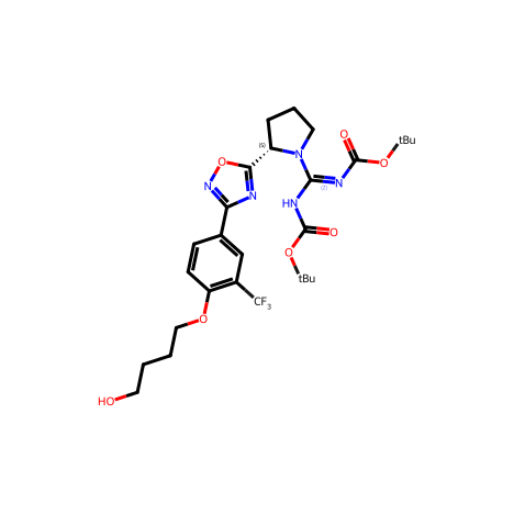 CC(C)(C)OC(=O)/N=C(/NC(=O)OC(C)(C)C)N1CCC[C@H]1c1nc(-c2ccc(OCCCCO)c(C(F)(F)F)c2)no1